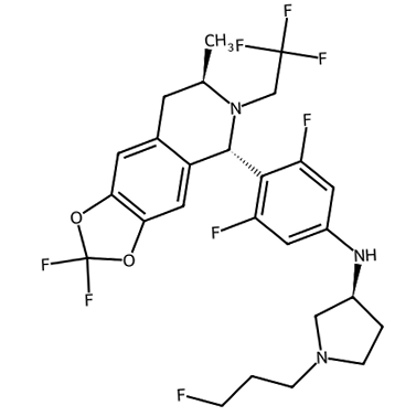 C[C@@H]1Cc2cc3c(cc2[C@@H](c2c(F)cc(N[C@H]4CCN(CCCF)C4)cc2F)N1CC(F)(F)F)OC(F)(F)O3